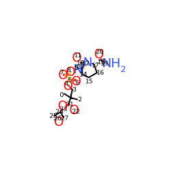 CC(C)(COS(=O)(=O)ON1C(=O)N2CC1CC[C@H]2C(N)=O)C(=O)OC1COC1